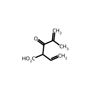 C=CC(C(=O)O)C(=O)C(=C)C